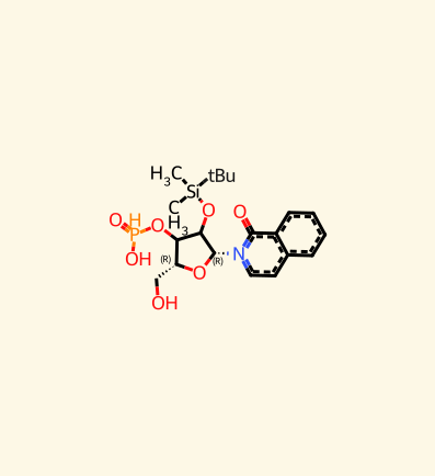 CC(C)(C)[Si](C)(C)OC1C(O[PH](=O)O)[C@@H](CO)O[C@H]1n1ccc2ccccc2c1=O